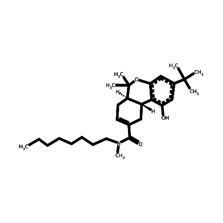 CCCCCCCCN(C)C(=O)C1=CC[C@@H]2[C@@H](C1)c1c(O)cc(C(C)(C)C)cc1OC2(C)C